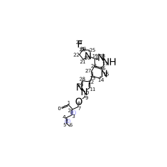 C=C/C(=C\C=C/C)COCn1cc(-c2cnc3[nH]nc(N4CC[C@H](F)C4)c3c2)cn1